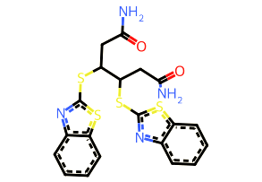 NC(=O)CC(Sc1nc2ccccc2s1)C(CC(N)=O)Sc1nc2ccccc2s1